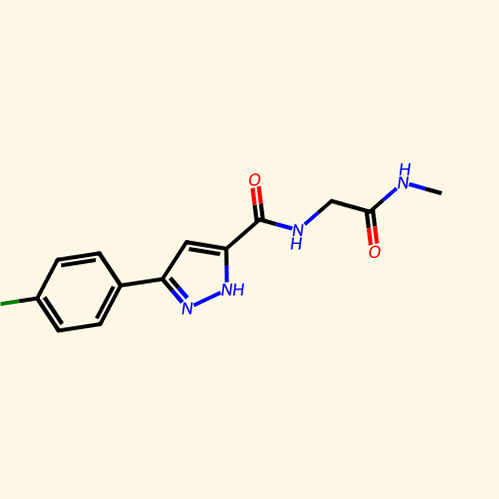 CNC(=O)CNC(=O)c1cc(-c2ccc(F)cc2)n[nH]1